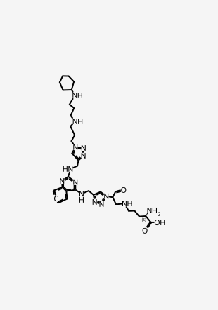 N[C@@H](CCCNCC(C=O)n1cc(CNc2nc(NCc3cn(CCCNCCCNC4CCCCC4)nn3)nc3ccccc23)nn1)C(=O)O